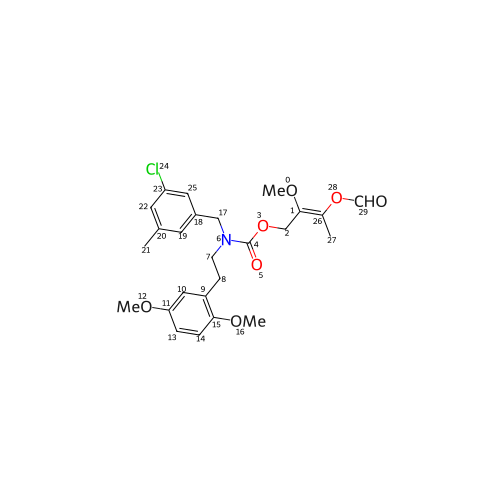 CO/C(COC(=O)N(CCc1cc(OC)ccc1OC)Cc1cc(C)cc(Cl)c1)=C(/C)OC=O